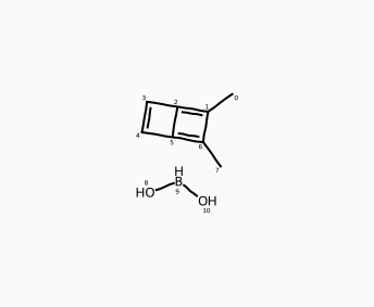 Cc1c2ccc-2c1C.OBO